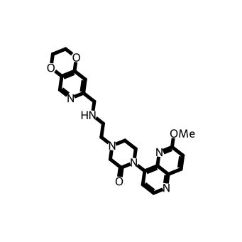 COc1ccc2nccc(N3CCN(CCNCc4cc5c(cn4)OCCO5)CC3=O)c2n1